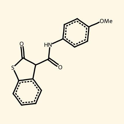 COc1ccc(NC(=O)C2C(=O)Sc3ccccc32)cc1